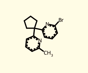 Cc1cccc(C2(c3cccc(Br)n3)CCCC2)n1